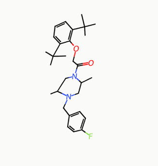 CC1CN(C(=O)COc2c(C(C)(C)C)cccc2C(C)(C)C)C(C)CN1Cc1ccc(F)cc1